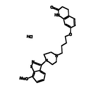 COc1cccc2c(N3CCN(CCCCOc4ccc5c(c4)NC(=O)CC5)CC3)nsc12.Cl